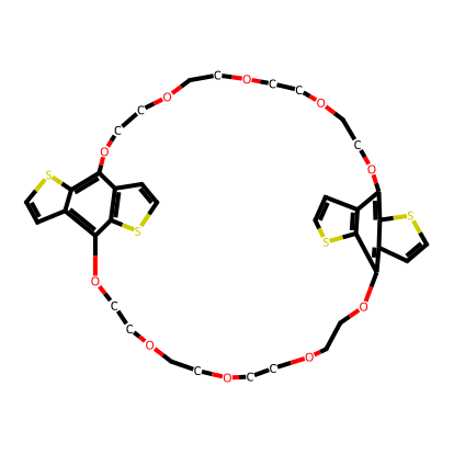 c1cc2c3c4sccc4c(c2s1)OCCOCCOCCOCCOc1c2ccsc2c(c2ccsc12)OCCOCCOCCOCCO3